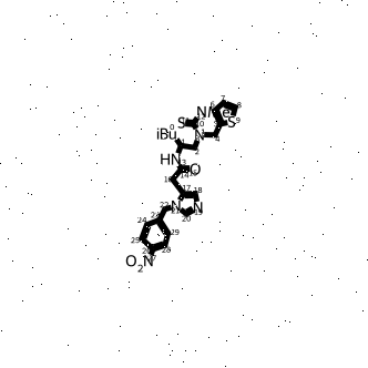 CCC(C)C(CN(Cc1cccs1)C(=S)NC)NC(=O)Cc1cncn1Cc1ccc([N+](=O)[O-])cc1